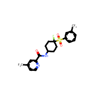 O=C(NC1CCC(F)(S(=O)(=O)c2cccc(C(F)(F)F)c2)CC1)c1cc(C(F)(F)F)ccn1